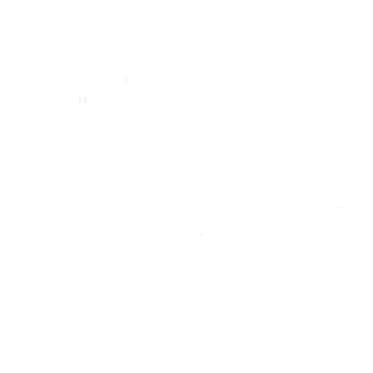 CC1(C)CC(=O)C2=C(C1)OC1=C(C(=O)c3ccc(O)cc3C1=O)C2c1ccc(Cl)cc1